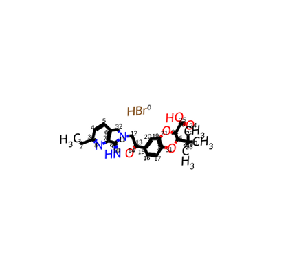 Br.CCc1ccc2c(n1)C(=N)N(CC(=O)c1ccc3c(c1)OC(C(=O)O)C(C(C)(C)C)O3)C2